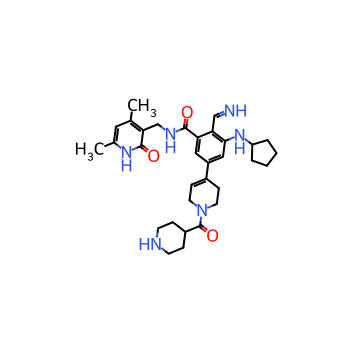 Cc1cc(C)c(CNC(=O)c2cc(C3=CCN(C(=O)C4CCNCC4)CC3)cc(NC3CCCC3)c2C=N)c(=O)[nH]1